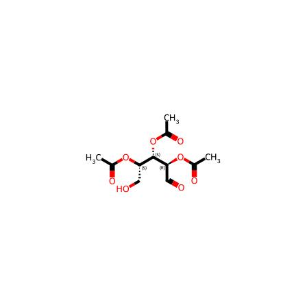 CC(=O)O[C@H]([C@H](C=O)OC(C)=O)[C@H](CO)OC(C)=O